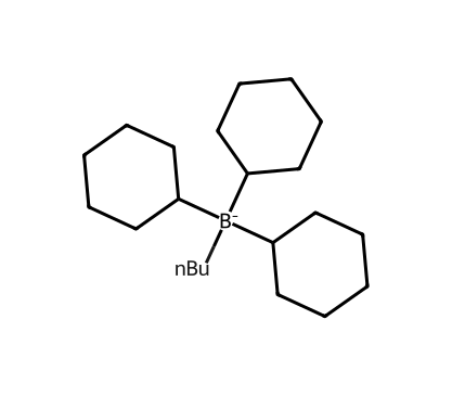 CCCC[B-](C1CCCCC1)(C1CCCCC1)C1CCCCC1